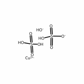 O=S(=O)(O)O.O=S(=O)([O-])O.[Cu+2].[OH-]